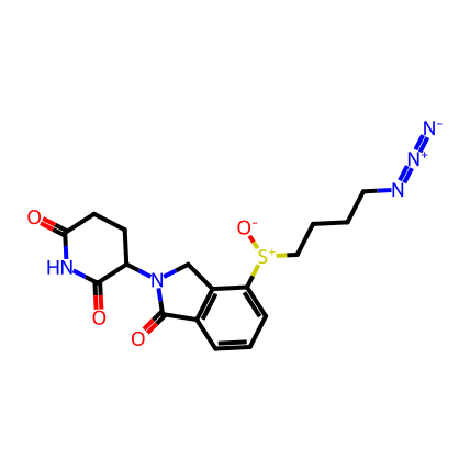 [N-]=[N+]=NCCCC[S+]([O-])c1cccc2c1CN(C1CCC(=O)NC1=O)C2=O